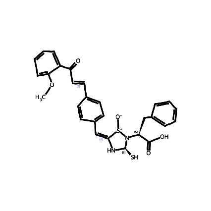 COc1ccccc1C(=O)/C=C/c1ccc(/C=C2/N[C@H](S)N([C@@H](Cc3ccccc3)C(=O)O)[S+]2[O-])cc1